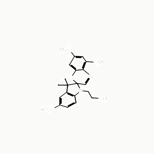 COc1cc(OC)c2c(c1)OC1(C=N2)N(CCO)c2ccc(C(=O)O)cc2C1(C)C